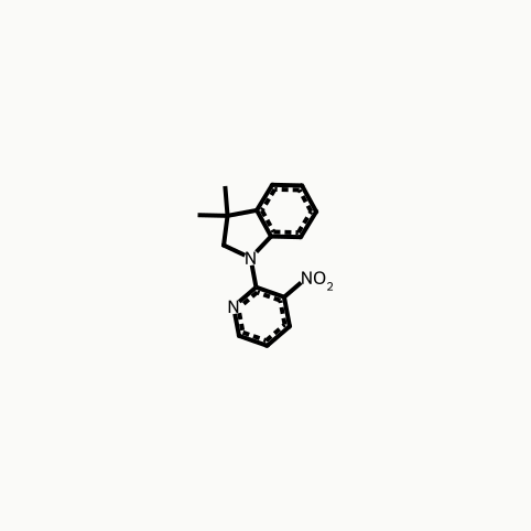 CC1(C)CN(c2ncccc2[N+](=O)[O-])c2ccccc21